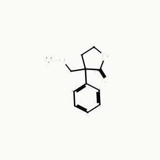 COCC1(c2ccccc2)CCOC1=O